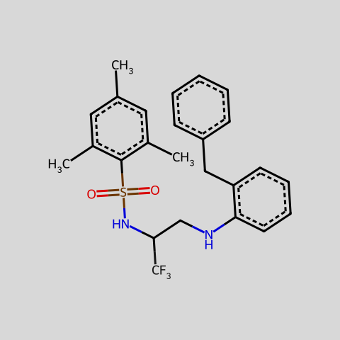 Cc1cc(C)c(S(=O)(=O)NC(CNc2ccccc2Cc2ccccc2)C(F)(F)F)c(C)c1